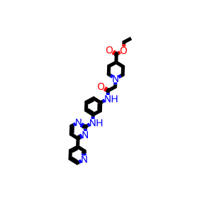 CCOC(=O)C1CCN(CC(=O)Nc2cccc(Nc3nccc(-c4cccnc4)n3)c2)CC1